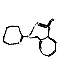 Brc1nn(C2CCCCO2)c2ccccc12